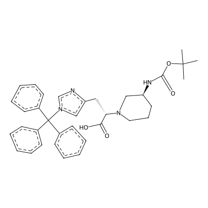 CC(C)(C)OC(=O)N[C@H]1CCCN([C@@H](Cc2cn(C(c3ccccc3)(c3ccccc3)c3ccccc3)cn2)C(=O)O)C1